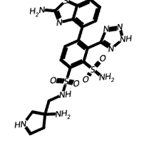 Nc1nc2c(-c3ccc(S(=O)(=O)NCC4(N)CCNC4)c(S(N)(=O)=O)c3-c3nn[nH]n3)cccc2s1